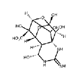 N=C1N[C@H](O)[C@H]2[C@H]3O[C@]4(O)O[C@@H](C(O)[C@@]2(N1)[C@@H]4O)[C@]3(O)C(=O)O